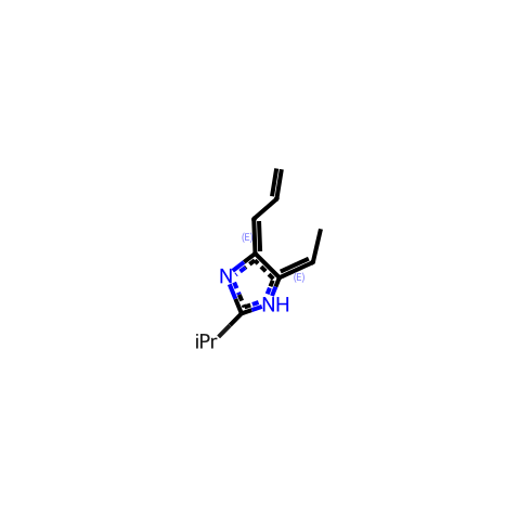 C=C/C=c1/nc(C(C)C)[nH]/c1=C/C